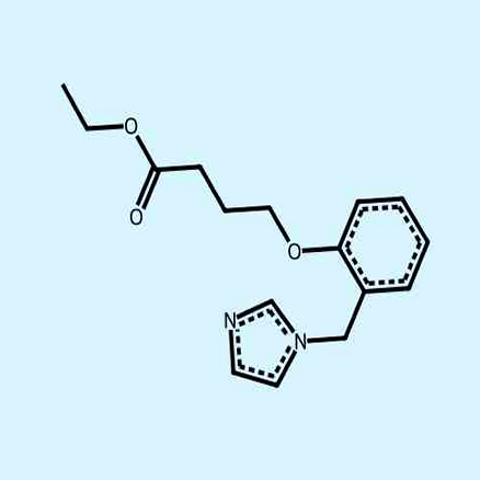 CCOC(=O)CCCOc1ccccc1Cn1ccnc1